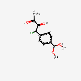 CCOC(OCC)c1ccc(C(Cl)C(=O)C(=O)OC)cc1